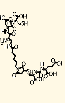 N[C@@H](CNC(=O)CCCCCN1C(=O)CC(SCC(NC(=O)N[C@@H](CCC(=O)O)C(=O)O)C(=O)O)C1=O)C(=O)N[C@@H](CC(=O)O)C(=O)N[C@@H](CS)C(=O)O